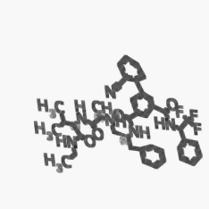 CCNC(=O)[C@@H](NC(=O)[C@H](C)NC[C@H](Cc1ccccc1)NC(=O)c1cc(C(=O)NC(c2ccccc2)C(F)(F)F)cc(-c2ccccc2C#N)c1)C(C)C